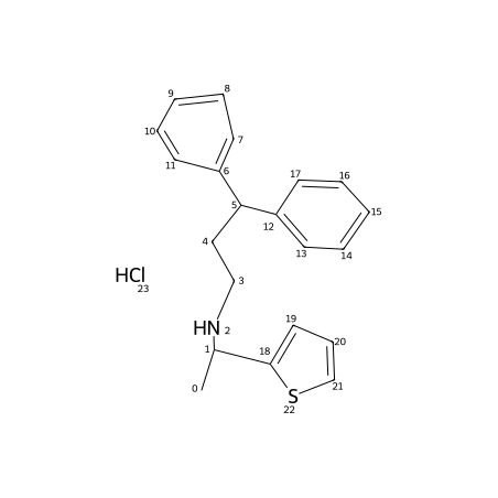 CC(NCCC(c1ccccc1)c1ccccc1)c1cccs1.Cl